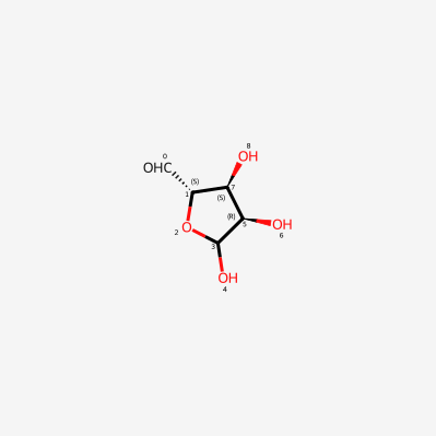 O=C[C@H]1OC(O)[C@H](O)[C@@H]1O